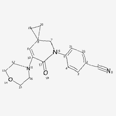 N#Cc1ccc(N2CC3(C=C(N4CCOCC4)C2=O)CC3)cc1